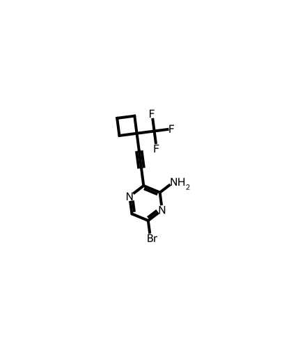 Nc1nc(Br)cnc1C#CC1(C(F)(F)F)CCC1